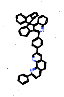 c1ccc(-c2ccc3ccc4cc(-c5ccc(-c6nc7ccccc7c7c6-c6ccccc6C76c7ccccc7-c7ccccc76)cc5)cnc4c3n2)cc1